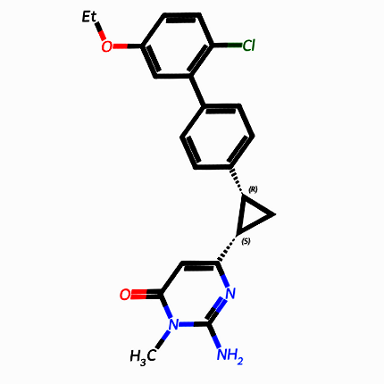 CCOc1ccc(Cl)c(-c2ccc([C@@H]3C[C@@H]3c3cc(=O)n(C)c(N)n3)cc2)c1